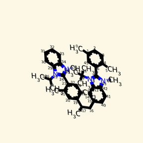 Cc1ccc(C)c(-c2n(C(C)(C)C)c3cc(CC(C)c4cc(C)c(-c5n(C(C)C)c6ccccc6[n+]5C)cc4C)ccc3[n+]2C)c1